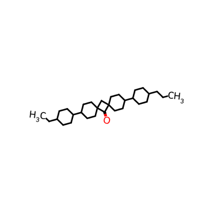 CCCC1CCC(C2CCC3(CC2)CC2(CCC(C4CCC(CC)CC4)CC2)C3=O)CC1